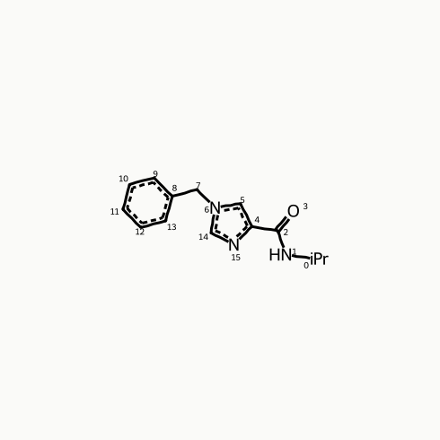 CC(C)NC(=O)c1cn(Cc2ccccc2)cn1